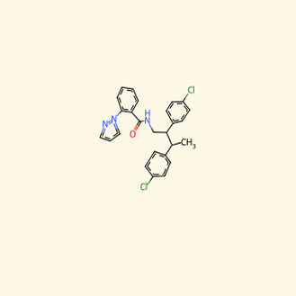 CC(c1ccc(Cl)cc1)C(CNC(=O)c1ccccc1-n1cccn1)c1ccc(Cl)cc1